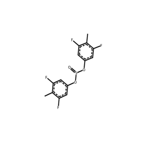 Cc1c(F)cc(OS(=O)Oc2cc(F)c(C)c(F)c2)cc1F